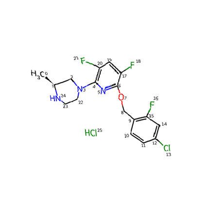 C[C@H]1CN(c2nc(OCc3ccc(Cl)cc3F)c(F)cc2F)CCN1.Cl